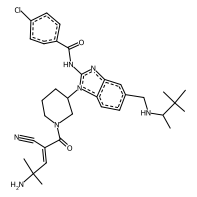 CC(NCc1ccc2c(c1)nc(NC(=O)c1ccc(Cl)cc1)n2C1CCCN(C(=O)C(C#N)=CC(C)(C)N)C1)C(C)(C)C